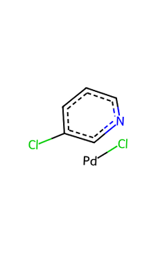 Clc1cccnc1.[Cl][Pd]